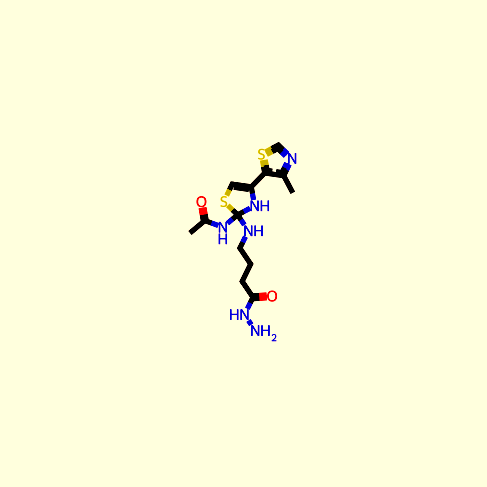 CC(=O)NC1(NCCCC(=O)NN)NC(c2scnc2C)=CS1